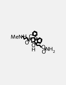 CNCCCC(=O)N1CCCC([C@@](O)(CCCOC(N)=O)c2ccccc2Oc2ccccc2C)C1